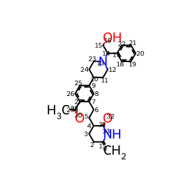 C=C1CCC(CCc2cc(C3CCN(C(CO)c4ccccc4)CC3)ccc2C(C)=O)C(=O)N1